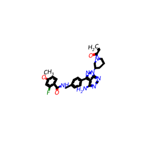 C=CC(=O)N1CCC[C@@H](n2nc(-c3ccc(CNC(=O)c4ccc(OC)cc4F)cc3)c3c(N)ncnc32)C1